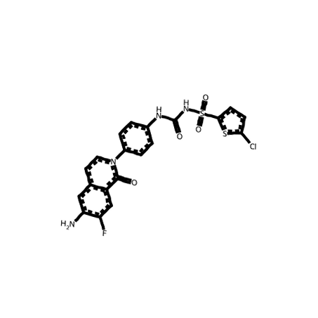 Nc1cc2ccn(-c3ccc(NC(=O)NS(=O)(=O)c4ccc(Cl)s4)cc3)c(=O)c2cc1F